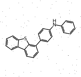 c1ccc(Nc2ccc(-c3cccc4c3sc3ccccc34)cc2)cc1